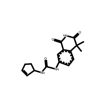 CC1(C)C(=O)NC(=O)c2cc(NC(=O)NC3C=CCC3)ccc21